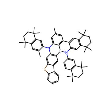 Cc1cc2c3c(c1)N(c1cc4c(cc1C)C(C)(C)CCC4(C)C)c1cc4sc5ccccc5c4cc1B3N(c1ccc3c(c1)C(C)(C)CCC3(C)C)c1cc3c(cc1-2)C(C)(C)CCC3(C)C